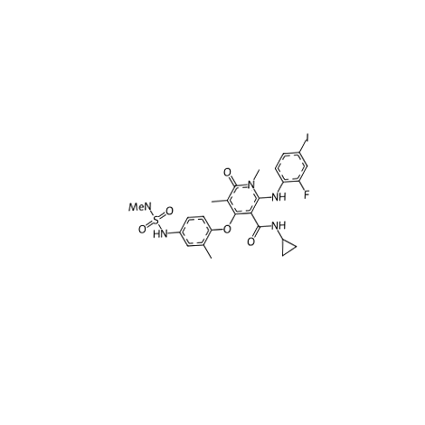 CNS(=O)(=O)Nc1ccc(Oc2c(C(=O)NC3CC3)c(Nc3ccc(I)cc3F)n(C)c(=O)c2C)c(C)c1